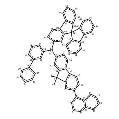 CC1(C)c2cc(-c3cccc4ccccc34)ccc2-c2ccc(N(c3cccc(-c4ccccc4)c3)c3ccc4c(c3)C3(c5ccccc5-c5ccccc53)c3ccccc3-4)cc21